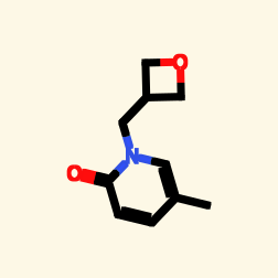 Cc1ccc(=O)n(CC2COC2)c1